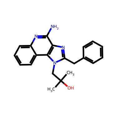 CC(C)(O)Cn1c(Cc2ccccc2)nc2c(N)nc3ccccc3c21